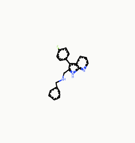 Fc1ccc(-c2c(CNCc3ccccc3)[nH]c3ncccc23)cc1